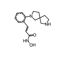 O=C(/C=C/c1ccccc1N1CCC2(CCNC2)C1)NO